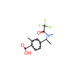 Cc1cc(C(C)N(C)C(=O)C(F)(F)F)ccc1C(=O)O